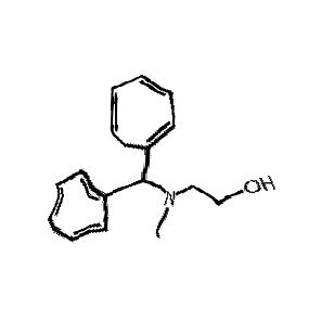 CN(CCO)C(c1ccccc1)c1ccccc1